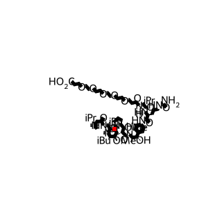 CC[C@H](C)C([C@@H](CC(=O)N1CCC[C@H]1[C@H](OC)[C@@H](C)C(=O)N[C@H](C)[C@@H](O)c1ccc(NC(=O)[C@H](CCCNC(N)=O)NC(=O)[C@@H](NC(=O)CCOCCOCCOCCOCCOCCC(=O)O)C(C)C)cc1)OC)N(C)C(=O)[C@H](NC(=O)[C@H](C(C)C)N(C)C)C(C)C